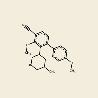 COc1ccc(-c2ccc(C#N)c(OC)c2C2CNCC(C)C2)cc1